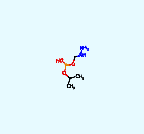 CC(C)OP(O)OCNN